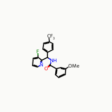 COc1cccc(C(=O)NC(c2ccc(C(F)(F)F)cc2)c2ncccc2F)c1